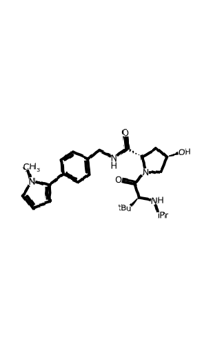 CC(C)N[C@H](C(=O)N1C[C@H](O)C[C@H]1C(=O)NCc1ccc(-c2cccn2C)cc1)C(C)(C)C